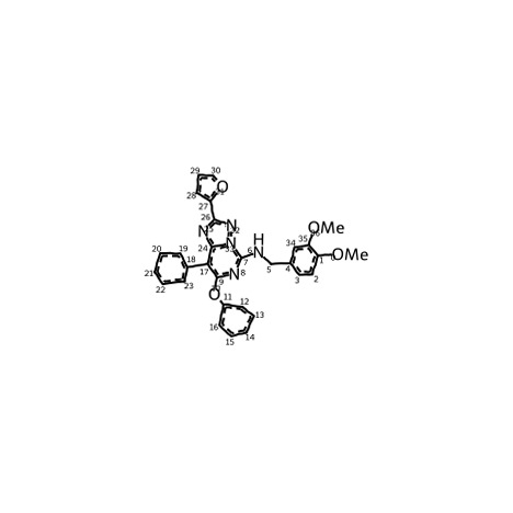 COc1ccc(CNc2nc(Oc3ccccc3)c(-c3ccccc3)c3nc(-c4ccco4)nn23)cc1OC